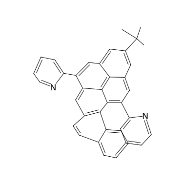 CC(C)(C)c1cc2cc(-c3ccccn3)c3cc4ccc5ccccc5c4c4c(-c5ccccn5)cc(c1)c2c34